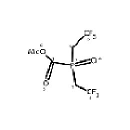 COC(=O)P(=O)(CC(F)(F)F)CC(F)(F)F